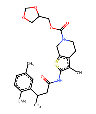 COc1ccc(C)cc1C(C)CC(=O)Nc1sc2c(c1C#N)CCN(C(=O)OCC1COCO1)C2